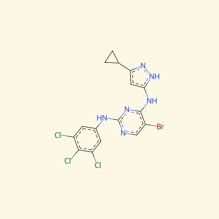 Clc1cc(Nc2ncc(Br)c(Nc3cc(C4CC4)n[nH]3)n2)cc(Cl)c1Cl